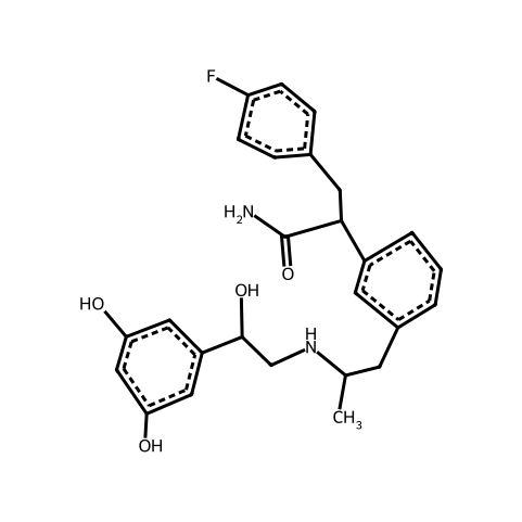 CC(Cc1cccc(C(Cc2ccc(F)cc2)C(N)=O)c1)NCC(O)c1cc(O)cc(O)c1